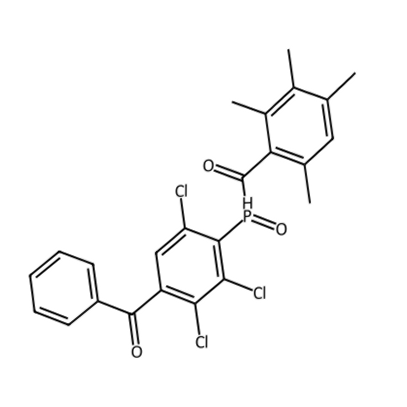 Cc1cc(C)c(C(=O)[PH](=O)c2c(Cl)cc(C(=O)c3ccccc3)c(Cl)c2Cl)c(C)c1C